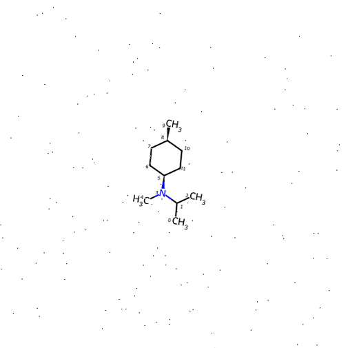 CC(C)N(C)[C@H]1CC[C@@H](C)CC1